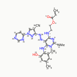 C=CC(=O)OCCNc1nc(NC)nc(Nc2c(C)cc(C)cc2O)c1N=Nc1nn(-c2ccncn2)cc1C#N